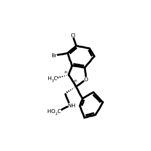 C[C@@H]1c2c(ccc(Cl)c2Br)O[C@@]1(CNC(=O)O)c1ccccc1